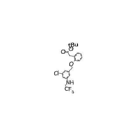 CC(C)(C)OC(=O)Cc1ccccc1OCc1cc(Cl)cc(NCC(F)(F)F)c1